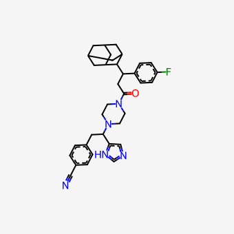 N#Cc1ccc(CC(c2cnc[nH]2)N2CCN(C(=O)CC(c3ccc(F)cc3)C3C4CC5CC(C4)CC3C5)CC2)cc1